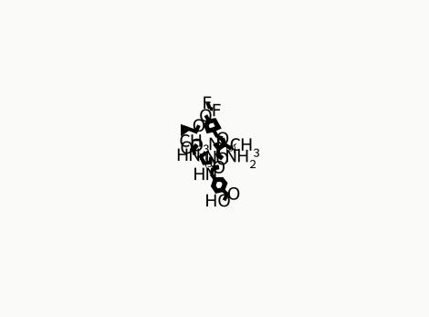 COC(=O)N[C@@H]1C[C@@H](C(=O)Nc2ccc(C(=O)O)cc2)N(C(=O)c2nc(-c3ccc(OC(F)F)c(OCC4CC4)c3)oc2[C@H](C)N)C1